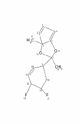 CC12C=CC=C1OC(C)(C1C=CC(F)C(F)C1)O2